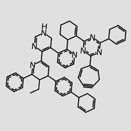 CCC1C(c2ccccc2)=NC(C2=C(c3cccnc3C3CCCC=C3c3nc(C4=CCC#CC=C4)nc(C4C=CC=CC4)n3)CNC=N2)=CC1c1ccc(C2C=CC=CC2)cc1